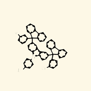 CC(C)(C)c1ccc(-n2c3ccc(C4(c5cccc(Br)c5)c5ccccc5-c5ccccc54)cc3c3cc(C4(c5cccc(Br)c5)c5ccccc5-c5ccccc54)ccc32)cc1